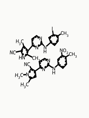 Cc1ccc(Nc2nccc(-c3c(C)[nH]c(C#N)c3C)n2)cc1I.Cc1ccc(Nc2nccc(-c3cc(C)n(C)c3C#N)n2)cc1[N+](=O)[O-]